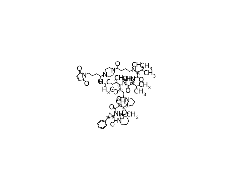 CC[C@H](C)[C@@H]([C@@H](CC(=O)N1CCC[C@H]1[C@H](OC)[C@@H](C)C(=O)N[C@@]1(C(=O)N2CCCCO2)C[C@@H]1c1ccccc1)OC)N(C)C(=O)[C@@H](NC(=O)[C@H](C(C)C)N(C)CCCC(=O)N1CCN(C(=O)CCCN2C(=O)C=CC2=O)CC1)C(C)C